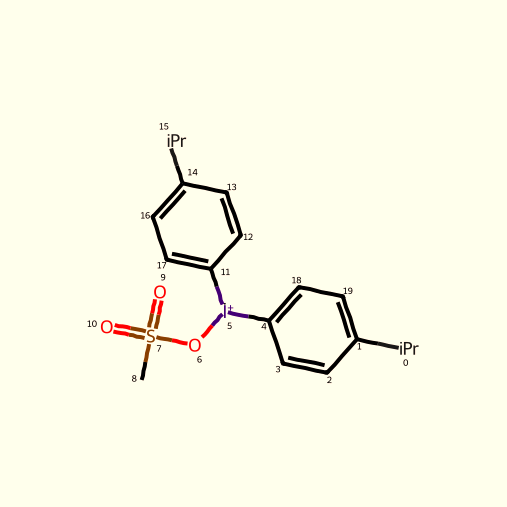 CC(C)c1ccc([I+](OS(C)(=O)=O)c2ccc(C(C)C)cc2)cc1